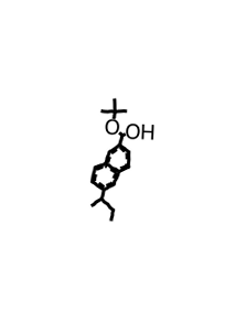 CCC(C)c1ccc2cc(C(O)OC(C)(C)C)ccc2c1